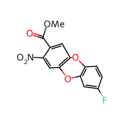 COC(=O)c1cc2c(cc1[N+](=O)[O-])Oc1cc(F)ccc1O2